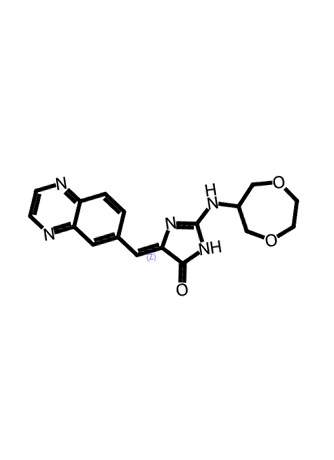 O=C1NC(NC2COCCOC2)=N/C1=C\c1ccc2nccnc2c1